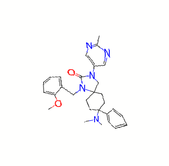 COc1ccccc1CN1C(=O)N(c2cnc(C)nc2)CC12CCC(c1ccccc1)(N(C)C)CC2